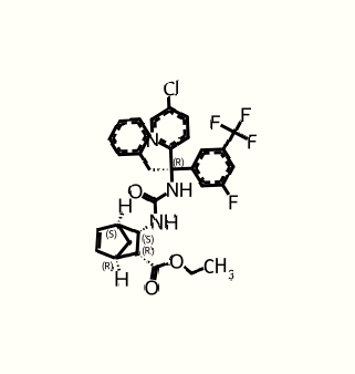 CCOC(=O)[C@H]1[C@@H](NC(=O)N[C@](Cc2ccccc2)(c2cc(F)cc(C(F)(F)F)c2)c2ccc(Cl)cn2)[C@@H]2C=C[C@H]1C2